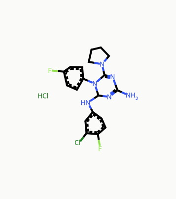 Cl.NC1=NC(Nc2ccc(F)c(Cl)c2)N(c2ccc(F)cc2)C(N2CCCC2)=N1